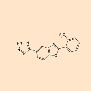 FC(F)(F)c1ccccc1-c1nc2cc(-c3nn[nH]n3)ccc2o1